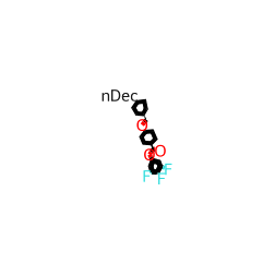 CCCCCCCCCC[C@H]1CC[C@H](CO[C@H]2CC[C@H](C(=O)Oc3cc(F)c(F)c(F)c3)CC2)CC1